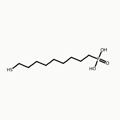 O=P(O)(O)CCCCCCCCCS